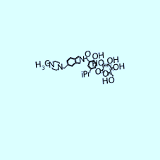 CC(C)c1cc(C(=O)n2cc3ccc(CN4CCN(C)CC4)cc3c2)c(O)cc1O[C@@H]1O[C@H](CO)[C@H](O)[C@H](O)[C@H]1O